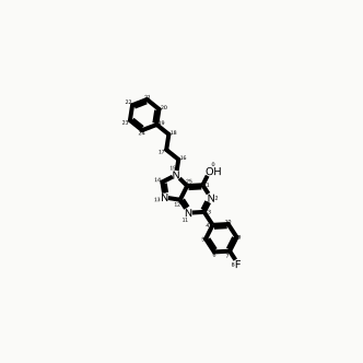 Oc1nc(-c2ccc(F)cc2)nc2ncn(CCCc3ccccc3)c12